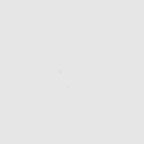 CN(C)C(=Cc1ccccc1)C1=Nc2ccccc2C1